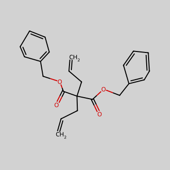 C=CCC(CC=C)(C(=O)OCc1ccccc1)C(=O)OCc1ccccc1